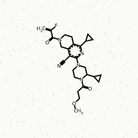 C=C(F)C(=O)N1CCc2c(C3CC3)nc(N3CCN(C(=O)CCOC)C(C4CC4)C3)c(C#N)c2C1